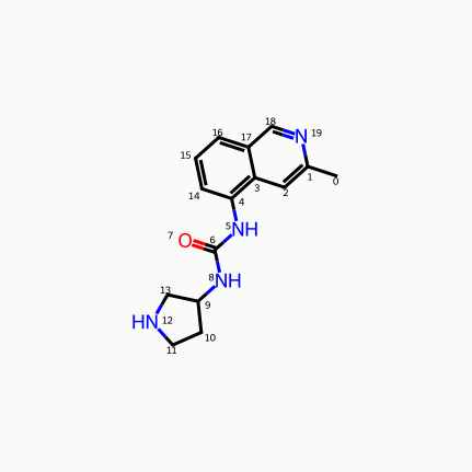 Cc1cc2c(NC(=O)NC3CCNC3)cccc2cn1